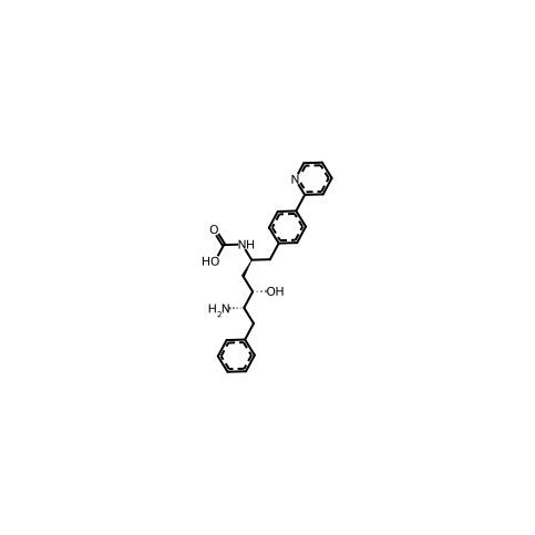 N[C@@H](Cc1ccccc1)[C@@H](O)C[C@H](Cc1ccc(-c2ccccn2)cc1)NC(=O)O